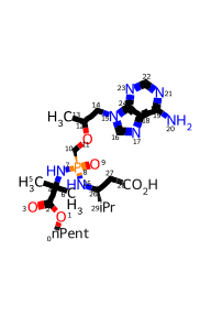 CCCCCOC(=O)C(C)(C)N[P@@](=O)(COC(C)Cn1cnc2c(N)ncnc21)N[C@@H](CC(=O)O)C(C)C